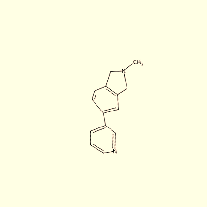 CN1Cc2ccc(-c3cccnc3)cc2C1